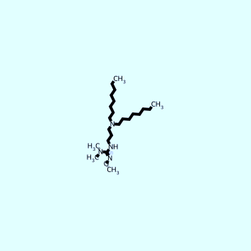 CCCCCCCCN(CCCCCCCC)CCCN/C(=N/OC)N(C)C